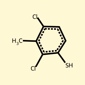 Cc1c(Cl)ccc(S)c1Cl